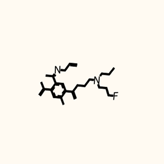 C=CC/N=C(/C)c1cc(C(=C)CCCN(CCC)CCCF)c(C)cc1C(=C)C